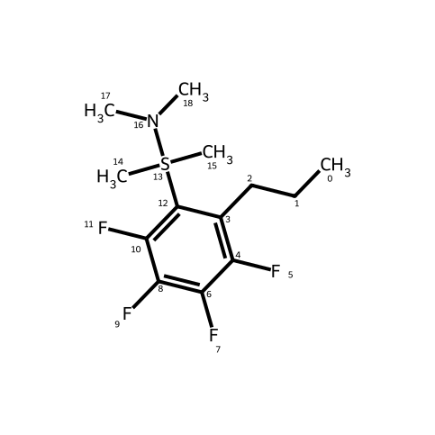 CCCc1c(F)c(F)c(F)c(F)c1S(C)(C)N(C)C